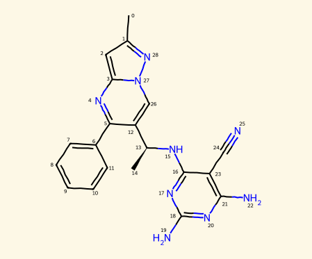 Cc1cc2nc(-c3ccccc3)c([C@H](C)Nc3nc(N)nc(N)c3C#N)cn2n1